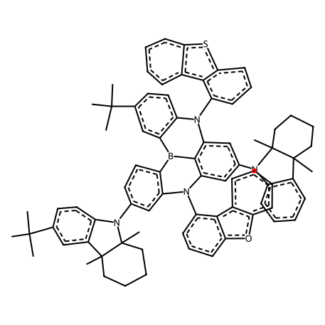 CC(C)(C)c1ccc2c(c1)B1c3ccc(N4c5ccc(C(C)(C)C)cc5C5(C)CCCCC45C)cc3N(c3cccc4oc5ccccc5c34)c3cc(N4c5ccccc5C5(C)CCCCC45C)cc(c31)N2c1cccc2sc3ccccc3c12